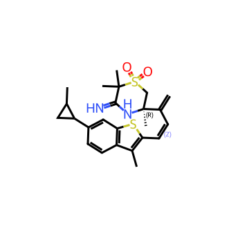 C=C(/C=C\c1sc2cc(C3CC3C)ccc2c1C)[C@]1(C)CS(=O)(=O)C(C)(C)C(=N)N1